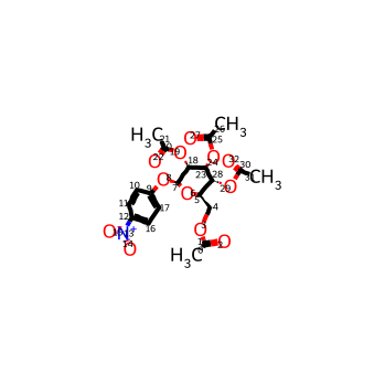 CC(=O)OC[C@H]1O[C@@H](Oc2ccc([N+](=O)[O-])cc2)[C@H](OC(C)=O)[C@@H](OC(C)=O)[C@@H]1OC(C)=O